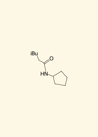 CCC(C)CC(=O)NC1CCCC1